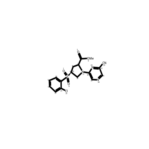 COC(=O)C1C[C@H](S(=O)(=O)c2ccccc2Cl)CN1c1cncc(C#N)n1